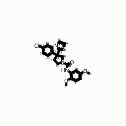 COc1ccc(OC)c(NC(=O)N2CCC(c3ccc(Cl)cc3)(c3nccs3)C2)c1